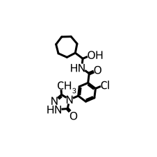 Cc1n[nH]c(=O)n1-c1ccc(Cl)c(C(=O)NC(O)C2CCCCCC2)c1